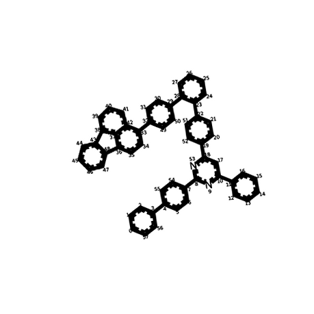 c1ccc(-c2ccc(-c3nc(-c4ccccc4)cc(-c4ccc(-c5ccccc5-c5ccc(-c6ccc7c8c(cccc68)-c6ccccc6-7)cc5)cc4)n3)cc2)cc1